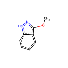 COc1n[nH]c2cc[c]cc12